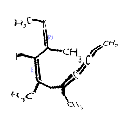 C=C=C=C(C)/C(C)=C(I)\C(C)=N/C